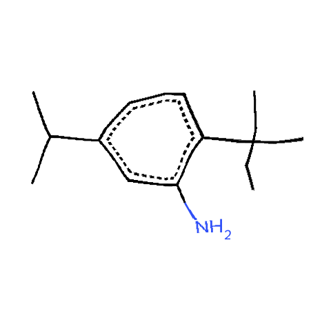 CC(C)c1ccc(C(C)(C)C)c(N)c1